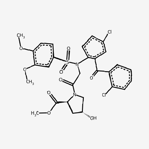 COC(=O)[C@@H]1C[C@@H](O)CN1C(=O)CN(c1ccc(Cl)cc1C(=O)c1ccccc1Cl)S(=O)(=O)c1ccc(OC)c(OC)c1